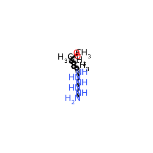 COC(=O)CC[C@@H](C)[C@H]1CCC2C3CCC4C[C@@H](NCCNCCNCCNCCNCCN)CC[C@]4(C)C3CC[C@@]21C